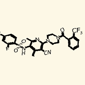 Cc1nc(N2CCN(C(=O)c3ccccc3C(F)(F)F)CC2)c(C#N)c(C)c1NS(=O)(=O)c1ccc(F)cc1F